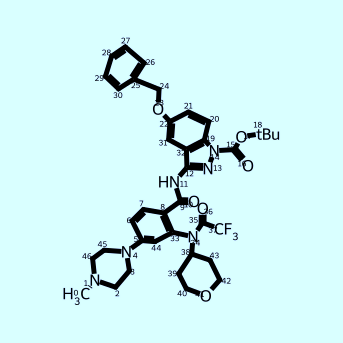 CN1CCN(c2ccc(C(=O)Nc3nn(C(=O)OC(C)(C)C)c4ccc(OCc5ccccc5)cc34)c(N(C(=O)C(F)(F)F)C3CCOCC3)c2)CC1